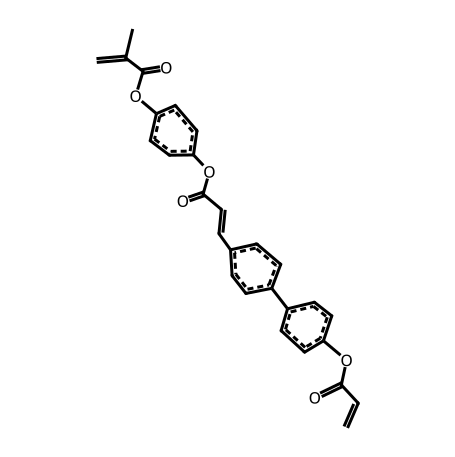 C=CC(=O)Oc1ccc(-c2ccc(/C=C/C(=O)Oc3ccc(OC(=O)C(=C)C)cc3)cc2)cc1